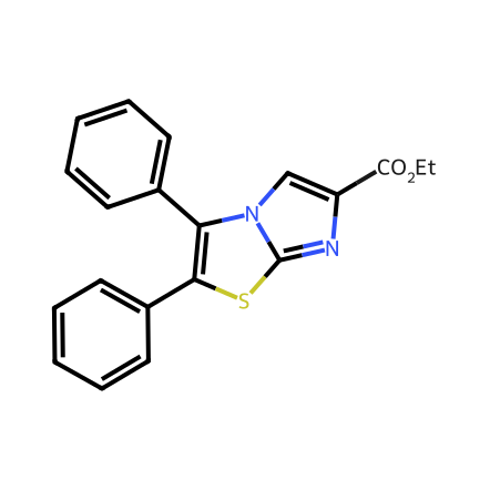 CCOC(=O)c1cn2c(-c3ccccc3)c(-c3ccccc3)sc2n1